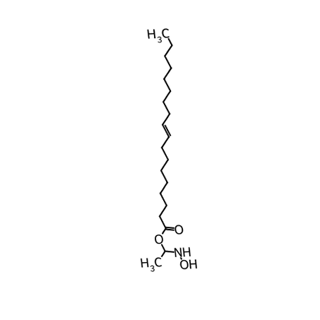 CCCCCCCCC=CCCCCCCCC(=O)OC(C)NO